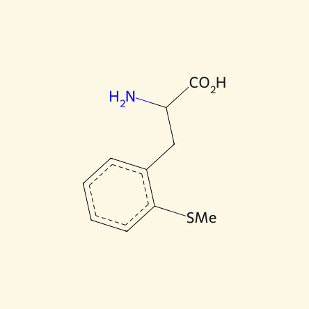 CSc1ccccc1CC(N)C(=O)O